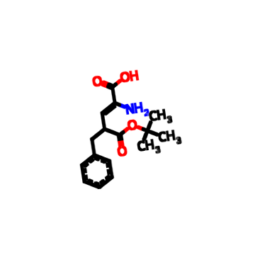 CC(C)(C)OC(=O)C(C=C(N)C(=O)O)Cc1ccccc1